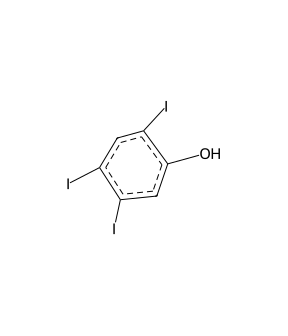 Oc1cc(I)c(I)cc1I